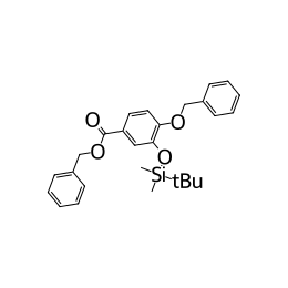 CC(C)(C)[Si](C)(C)Oc1cc(C(=O)OCc2ccccc2)ccc1OCc1ccccc1